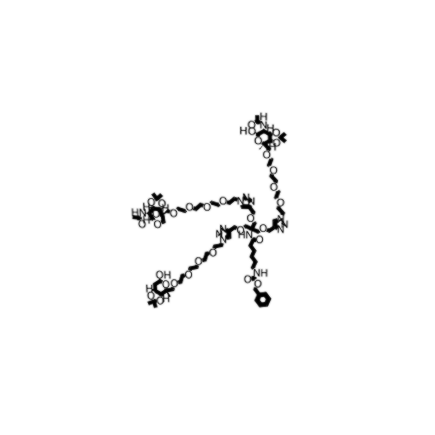 CC(=O)N[C@@H]1[C@H]2OC(C)(C)O[C@H]2[C@@](C)(COCCOCCOCCOCCn2cc(COCC(COCc3cn(CCOCCOCCOCCOC[C@@]45CO[C@@H](O4)[C@H](NC(C)=O)[C@H]4OC(C)(C)O[C@H]45)nn3)(COCc3cn(CCOCCOCCOCCOC[C@@]4(C)O[C@H](O)C[C@H]5OC(C)(C)O[C@H]54)nn3)NC(=O)CCCCCNC(=O)OCc3ccccc3)nn2)O[C@@H]1O